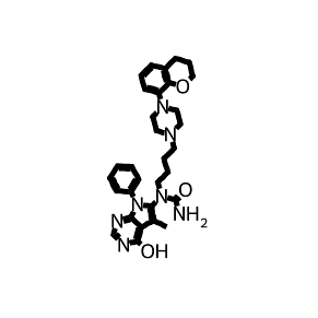 Cc1c(N(CCCCN2CCN(c3cccc4c3OCCC4)CC2)C(N)=O)n(-c2ccccc2)c2ncnc(O)c12